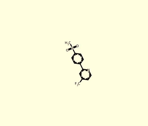 CS(=O)(=O)c1ccc(-c2cc(C(F)(F)F)ccn2)cc1